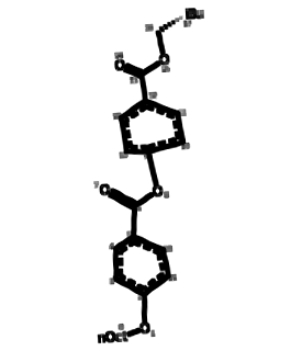 CCCCCCCCOc1ccc(C(=O)Oc2ccc(C(=O)OC[C@@H](C)CC)cc2)cc1